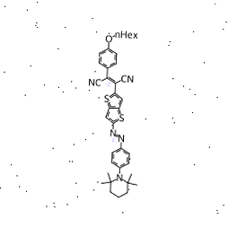 CCCCCCOc1ccc(/C(C#N)=C(\C#N)c2cc3sc(/N=N/c4ccc(N5C(C)(C)CCCC5(C)C)cc4)cc3s2)cc1